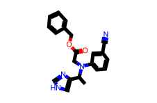 CC(c1c[nH]cn1)N(CC(=O)OCc1ccccc1)c1cccc(C#N)c1